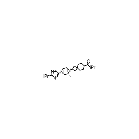 CC(C)C(=O)C1CCC2(CC1)CC(N1CCN(c3cnc(C(C)C)nc3)C[C@H]1C)C2